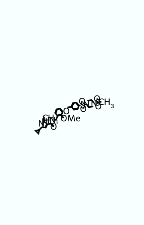 COc1c(CNC(=O)c2cc(C3CC3)nn2C)cccc1OCc1ccc(S(=O)(=O)N2CCN(S(C)(=O)=O)CC2)cc1